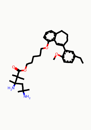 CCc1ccc(OC)c(C2=Cc3c(cccc3OCCCCCOC(=O)C(C)(C)C(C)(N)CC(C)(C)N)CCC2)c1